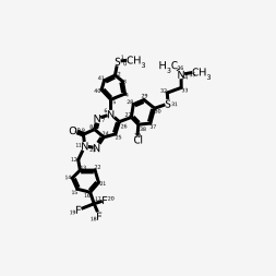 CSc1ccc(-n2nc3c(=O)n(Cc4ccc(C(F)(F)F)cc4)nc-3cc2-c2ccc(SCCN(C)C)cc2Cl)cc1